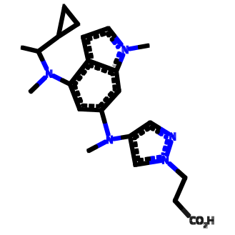 CC(C1CC1)N(C)c1cc(N(C)c2cnn(CCC(=O)O)c2)cc2c1ccn2C